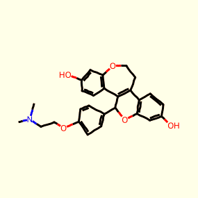 CN(C)CCOc1ccc(C2Oc3cc(O)ccc3C3=C2c2ccc(O)cc2OCC3)cc1